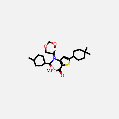 COC(=O)c1sc(C2CCC(C)(C)CC2)cc1N(C(=O)C1CCC(C)CC1)C1COCOC1